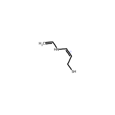 C=CN/C=C\CS